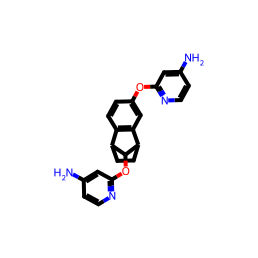 Nc1ccnc(Oc2ccc3c(c2)C2CCC3C2Oc2cc(N)ccn2)c1